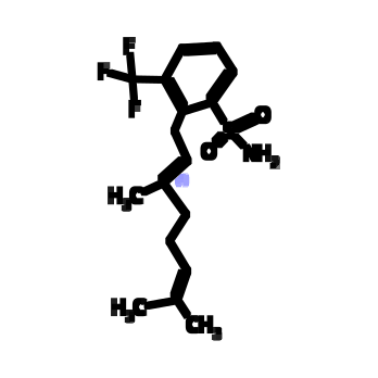 CC(C)=CCC/C(C)=C/Cc1c(C(F)(F)F)cccc1S(N)(=O)=O